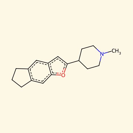 CN1CCC(c2cc3cc4c(cc3o2)CCC4)CC1